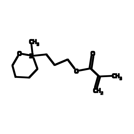 C=C(C)C(=O)OCCC[Si]1(C)CCCCO1